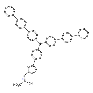 N#C/C(=C\c1ccc(-c2ccc(N(c3ccc(-c4ccc(-c5ccccc5)cc4)cc3)c3ccc(-c4ccc(-c5ccccc5)cc4)cc3)cc2)s1)C(=O)O